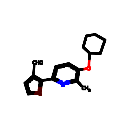 Cc1nc(-c2sccc2C=O)ccc1OC1CCCCC1